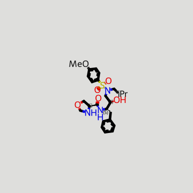 COc1ccc(S(=O)(=O)N(CC(C)C)C[C@@H](O)[C@H](Cc2ccccc2)NC(=O)[C@@H]2COCN2)cc1